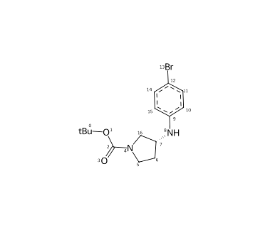 CC(C)(C)OC(=O)N1CC[C@@H](Nc2ccc(Br)cc2)C1